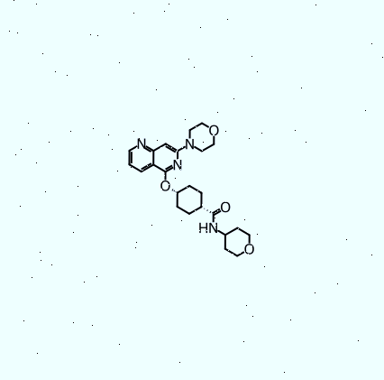 O=C(NC1CCOCC1)[C@H]1CC[C@@H](Oc2nc(N3CCOCC3)cc3ncccc23)CC1